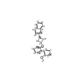 COc1cnccc1-c1nccnc1OC1CN(c2ccc3ccccc3n2)C1